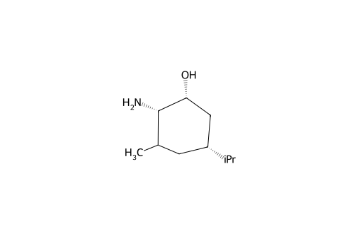 CC(C)[C@@H]1CC(C)[C@H](N)[C@H](O)C1